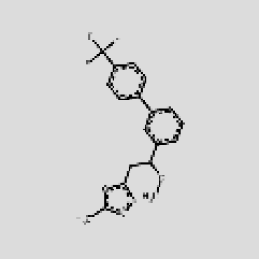 COC(Cc1nnc(C)o1)c1cccc(-c2ccc(C(F)(F)F)cc2)c1